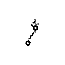 O=C1Nc2ccc(OCCCCSc3ccccc3)cc2CO1